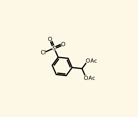 CC(=O)OC(OC(C)=O)c1cccc(S(=O)(=O)Cl)c1